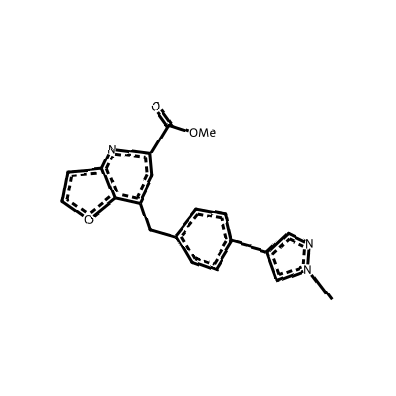 COC(=O)c1cc(Cc2ccc(-c3cnn(C)c3)cc2)c2occc2n1